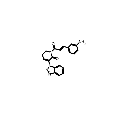 Nc1cccc(/C=C/C(=O)N2CCC=C(n3nnc4ccccc43)C2=O)c1